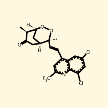 C[C@@H]1C(=O)C[C@H]2C[C@@H]1OO[C@@]2(C)/C=C/c1cc(C(F)(F)F)nc2c(Cl)cc(Cl)cc12